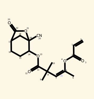 C=CC(=O)O/C(C)=C\C(C)(C)C(=O)OC1CCC2CC1(C#N)OC2=O